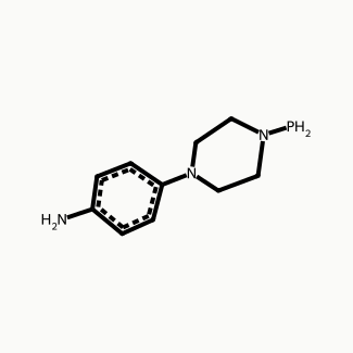 Nc1ccc(N2CCN(P)CC2)cc1